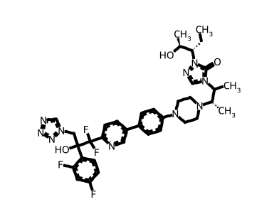 CC[C@@H]([C@H](C)O)n1ncn(C(C)[C@H](C)N2CCN(c3ccc(-c4ccc(C(F)(F)C(O)(Cn5cnnn5)c5ccc(F)cc5F)nc4)cc3)CC2)c1=O